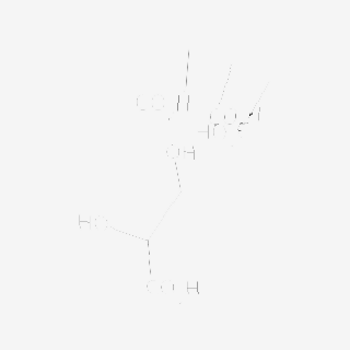 CC(=O)O.CC(=O)O.CC(=O)O.O=C(O)C(O)CO